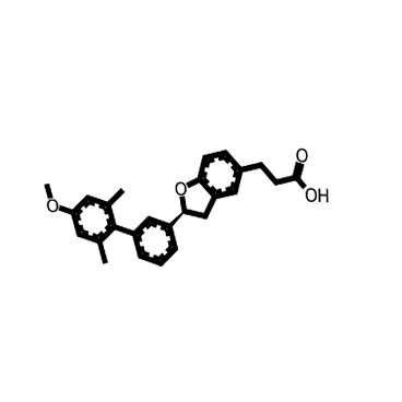 COc1cc(C)c(-c2cccc([C@@H]3Cc4cc(CCC(=O)O)ccc4O3)c2)c(C)c1